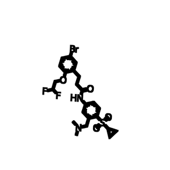 CN(C)Cc1cc(NC(=O)CCc2cc(Br)ccc2OCC(F)F)ccc1S(=O)(=O)C1CC1